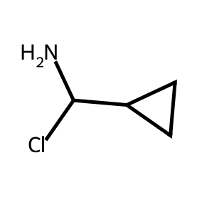 NC(Cl)C1CC1